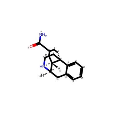 NC(=O)C1CC[C@]23CCN[C@H](Cc4ccccc42)[C@@H]3C1